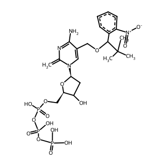 C=C1N=C(N)C(COC(c2ccccc2[N+](=O)[O-])C(C)(C)C)=CN1[C@H]1CC(O)[C@@H](COP(=O)(O)OP(=O)(O)OP(=O)(O)O)O1